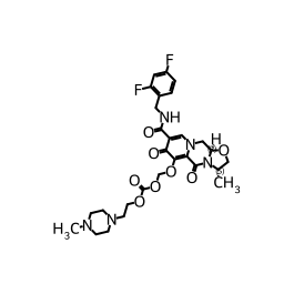 C[C@H]1CO[C@@H]2Cn3cc(C(=O)NCc4ccc(F)cc4F)c(=O)c(OCOC(=O)OCCN4CCN(C)CC4)c3C(=O)N12